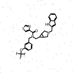 O=C(c1cscn1)N(Cc1cccc(OC(F)(F)F)c1)CC1C2CN(Cc3cc4ccccc4[nH]3)CC21